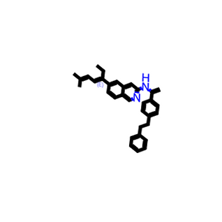 C=C(Nc1cc2cc(/C(=C/C=C(C)C)CC)ccc2cn1)c1ccc(CCc2ccccc2)cc1